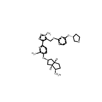 Cc1nc(-c2nnn(C)c2COc2nccc(O[C@@H]3CCOC3)n2)ccc1O[C@H]1C[C@@H]2CC[C@@H](C(=O)O)[C@@H]2C1